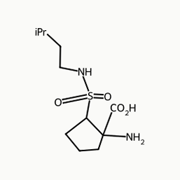 CC(C)CCNS(=O)(=O)C1CCCC1(N)C(=O)O